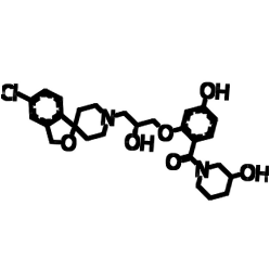 O=C(c1ccc(O)cc1OC[C@@H](O)CN1CCC2(CC1)OCc1cc(Cl)ccc12)N1CCCC(O)C1